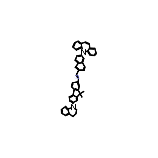 CC1(C)c2cc(/C=C/c3ccc4cc(N5c6ccccc6C=Cc6ccccc65)ccc4c3)ccc2-c2ccc(N3CCCc4ccccc43)cc21